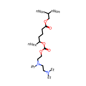 CCCCCCCCCC(CCCCCCCCC)COC(=O)CCCC(CCCCCC)OC(=O)OCCN(CCN(CC)CC)C(C)C